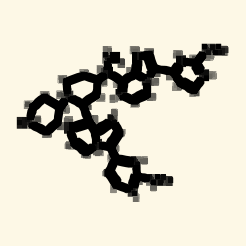 CNc1nccc(-c2cnc3c(C4CC(N(N)c5nccn6c(-c7ccnc(NC)n7)cnc56)CCN4C4CCNCC4)nccn23)n1